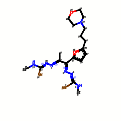 CCN/C(S)=N/N=C(/C(C)=N/N=C(\S)NCC)c1ccc(CCCN2CCOCC2)o1